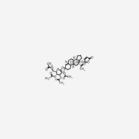 CC(=O)OC[C@H]1O[C@@H](O[C@@]2(C)CC[C@@]3(C)[C@H](CC[C@@H]4[C@@H]3C[C@@H](C(C)=O)[C@]3(C)[C@@H](C5=CC(=O)OC5)CC[C@]43O)C2)[C@H](OC(C)=O)[C@@H](OC(C)=O)[C@@H]1OC(C)=O